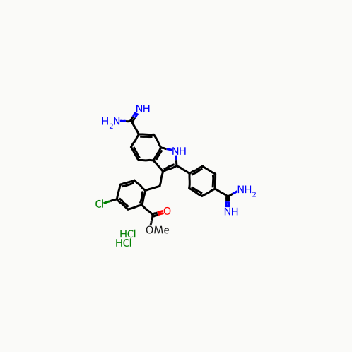 COC(=O)c1cc(Cl)ccc1Cc1c(-c2ccc(C(=N)N)cc2)[nH]c2cc(C(=N)N)ccc12.Cl.Cl